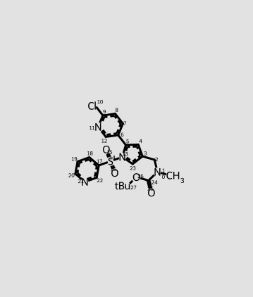 CN(Cc1cc(-c2ccc(Cl)nc2)n(S(=O)(=O)c2cccnc2)c1)C(=O)OC(C)(C)C